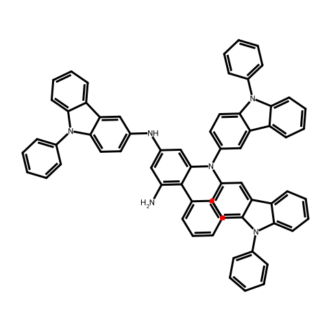 Nc1cc(Nc2ccc3c(c2)c2ccccc2n3-c2ccccc2)cc(N(c2ccc3c(c2)c2ccccc2n3-c2ccccc2)c2ccc3c(c2)c2ccccc2n3-c2ccccc2)c1-c1ccccc1